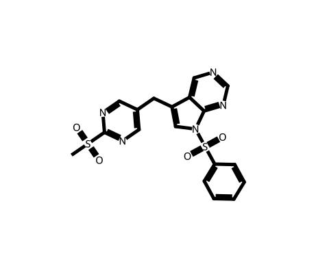 CS(=O)(=O)c1ncc(Cc2cn(S(=O)(=O)c3ccccc3)c3ncncc23)cn1